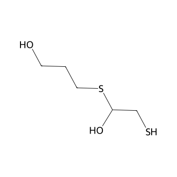 OCCCSC(O)CS